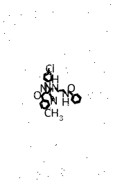 Cc1ccc(C(=O)c2nn(-c3ccc(Cl)cc3)c(NCCNC(=O)c3ccccc3)c2C#N)cc1